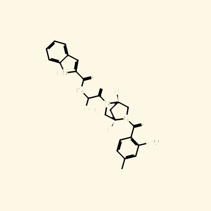 COc1cc(C)ccc1C(=O)N1C[C@@H]2C[C@H]1CN2C(=O)C(NC(=O)c1cc2ccccc2[nH]1)C(C)(C)C